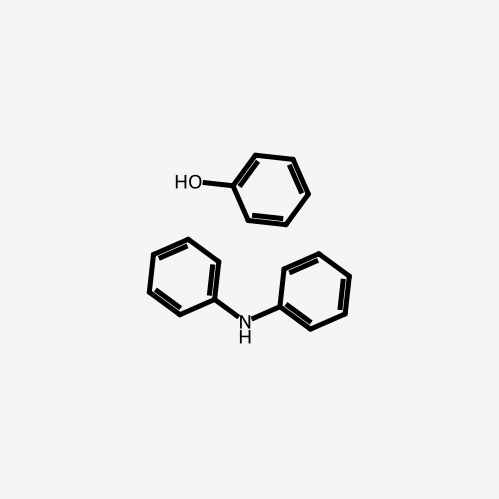 Oc1ccccc1.c1ccc(Nc2ccccc2)cc1